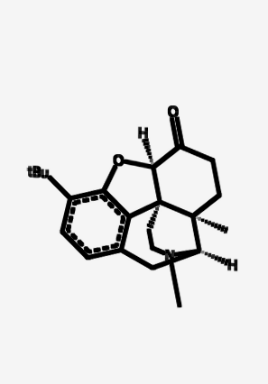 CN1CC[C@]23c4c5ccc(C(C)(C)C)c4O[C@H]2C(=O)CC[C@@]3(C)[C@H]1C5